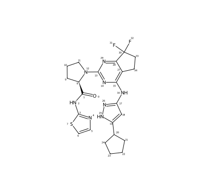 O=C(Nc1nccs1)[C@H]1CCCN1c1nc(Nc2cc(C3CCCC3)[nH]n2)c2c(n1)C(F)(F)CC2